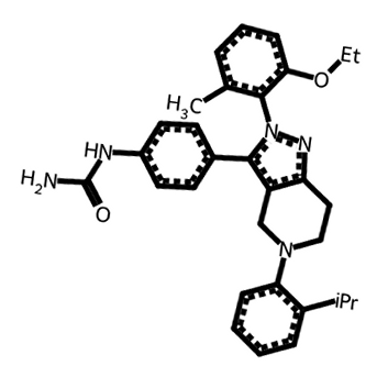 CCOc1cccc(C)c1-n1nc2c(c1-c1ccc(NC(N)=O)cc1)CN(c1ccccc1C(C)C)CC2